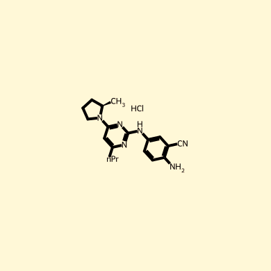 CCCc1cc(N2CCC[C@H]2C)nc(Nc2ccc(N)c(C#N)c2)n1.Cl